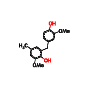 COc1cc(Cc2cc(C)cc(OC)c2O)ccc1O